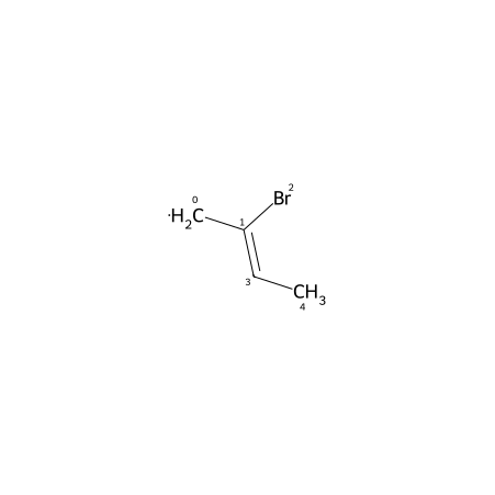 [CH2]C(Br)=CC